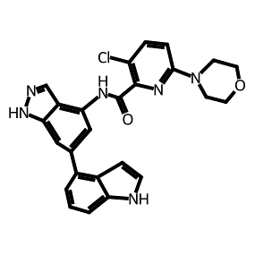 O=C(Nc1cc(-c2cccc3[nH]ccc23)cc2[nH]ncc12)c1nc(N2CCOCC2)ccc1Cl